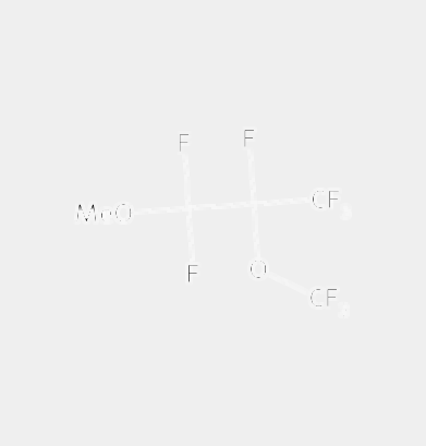 COC(F)(F)C(F)(OC(F)(F)F)C(F)(F)F